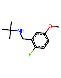 COc1ccc(F)c(CNC(C)(C)C)c1